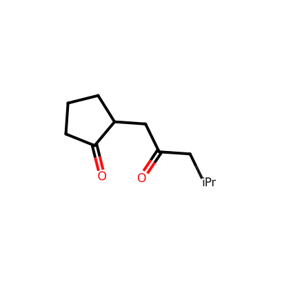 CC(C)CC(=O)CC1CCCC1=O